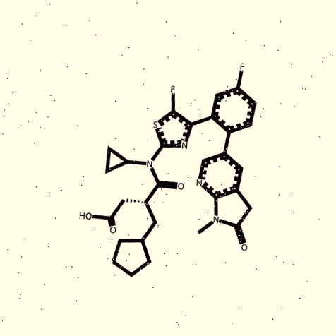 CN1C(=O)Cc2cc(-c3ccc(F)cc3-c3nc(N(C(=O)[C@@H](CC(=O)O)CC4CCCC4)C4CC4)sc3F)cnc21